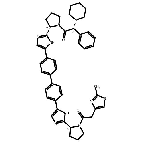 Cc1nc(CC(=O)N2CCC[C@H]2c2ncc(-c3ccc(-c4ccc(-c5cnc([C@@H]6CCCN6C(=O)[C@@H](c6ccccc6)N6CCCCC6)[nH]5)cc4)cc3)[nH]2)cs1